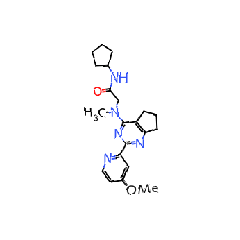 COc1ccnc(-c2nc3c(c(N(C)CC(=O)NC4CCCC4)n2)CCC3)c1